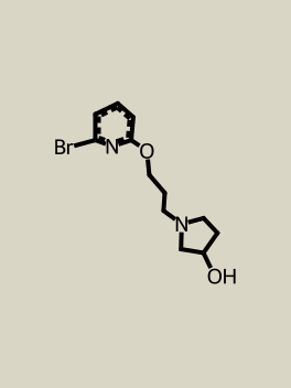 OC1CCN(CCCOc2cccc(Br)n2)C1